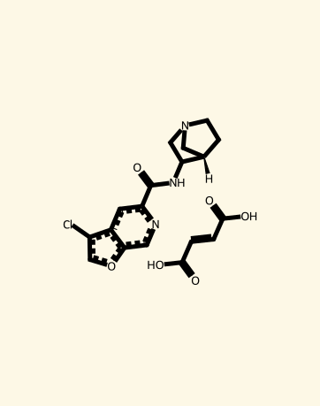 O=C(NC1CN2CC[C@H]1C2)c1cc2c(Cl)coc2cn1.O=C(O)/C=C/C(=O)O